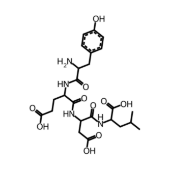 CC(C)CC(NC(=O)C(CC(=O)O)NC(=O)C(CCC(=O)O)NC(=O)C(N)Cc1ccc(O)cc1)C(=O)O